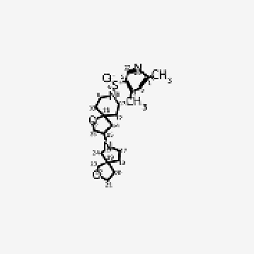 Cc1cc(C)c([S+]([O-])N2CCC3(CC2)CC(N2CCC4(CCOC4)C2)CO3)cn1